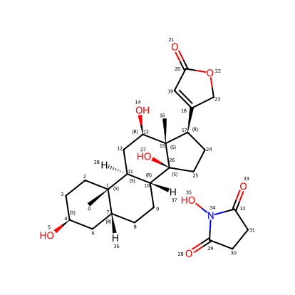 C[C@]12CC[C@H](O)C[C@H]1CC[C@@H]1[C@@H]2C[C@@H](O)[C@]2(C)[C@@H](C3=CC(=O)OC3)CC[C@]12O.O=C1CCC(=O)N1O